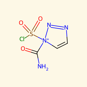 NC(=O)[N+]1(S(=O)(=O)Cl)C=CN=N1